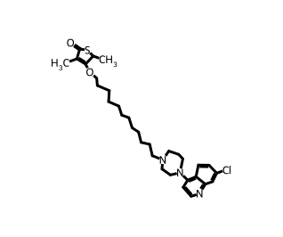 CC1=C(OCCCCCCCCCCCCN2CCCN(c3ccnc4cc(Cl)ccc34)CC2)C(C)SC1=O